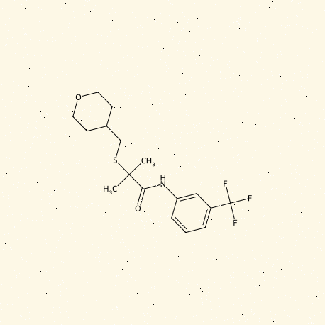 CC(C)(SCC1CCOCC1)C(=O)Nc1cccc(C(F)(F)F)c1